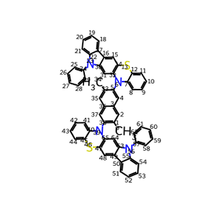 Cc1cc2cc(N3c4ccccc4Sc4cc5c6ccccc6n(-c6ccccc6)c5cc43)c(C)cc2cc1N1c2ccccc2Sc2cc3c4ccccc4n(-c4ccccc4)c3cc21